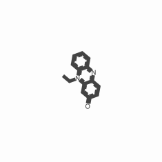 CCn1c2cc(=O)ccc-2nc2ccccc21